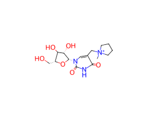 C[N+]1(Cc2cn([C@@H]3O[C@H](CO)C(O)[C@@H]3O)c(=O)[nH]c2=O)CCCC1